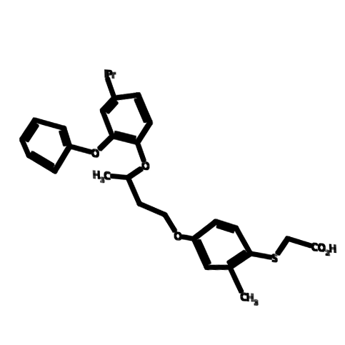 Cc1cc(OCCC(C)Oc2ccc(C(C)C)cc2Oc2ccccc2)ccc1SCC(=O)O